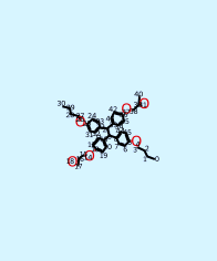 CCCCOc1ccc(C(c2ccc(OCC3CO3)cc2)C(c2ccc(OCCCC)cc2)c2ccc(OCC3CO3)cc2)cc1